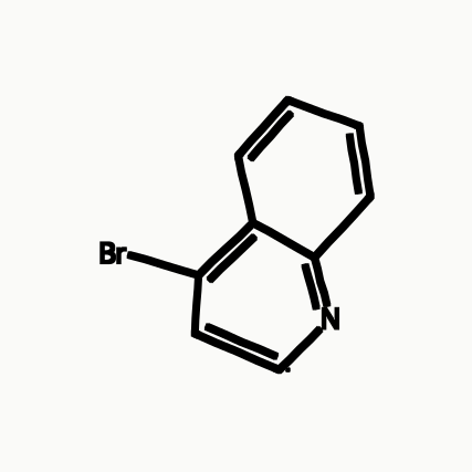 Brc1c[c]nc2ccccc12